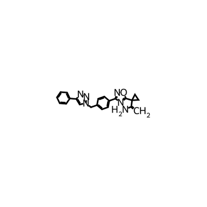 C=C(N)C1(c2nc(-c3ccc(Cn4cc(-c5ccccc5)nn4)cc3)no2)CC1